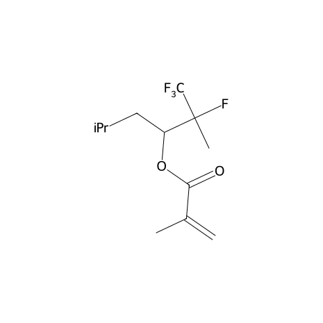 C=C(C)C(=O)OC(CC(C)C)C(C)(F)C(F)(F)F